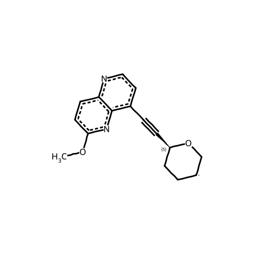 COc1ccc2nccc(C#C[C@@H]3CC[CH]CO3)c2n1